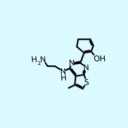 Cc1csc2nc(C3=C(O)C=CCC3)nc(NCCN)c12